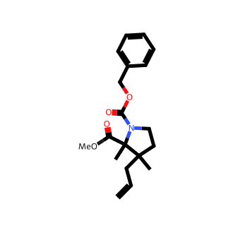 C=CCC1(C)CCN(C(=O)OCc2ccccc2)C1(C)C(=O)OC